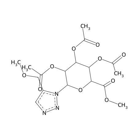 COCc1cnnn1C1OC(C(=O)OC)C(OC(C)=O)C(OC(C)=O)C1OC(C)=O